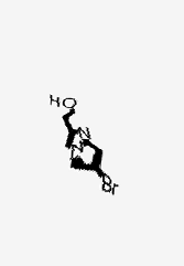 OCCc1cn2ccc(Br)cc2n1